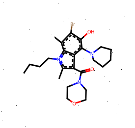 CCCCn1c(C)c(C(=O)N2CCOCC2)c2c(N3CCCCC3)c(O)c(Br)c(C)c21